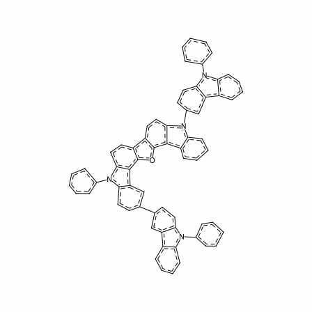 c1ccc(-n2c3ccccc3c3cc(-c4ccc5c(c4)c4c6oc7c(ccc8c7c7ccccc7n8-c7ccc8c(c7)c7ccccc7n8-c7ccccc7)c6ccc4n5-c4ccccc4)ccc32)cc1